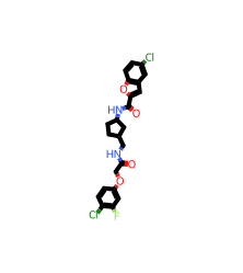 O=C(COc1ccc(Cl)c(F)c1)NCC1CCC(NC(=O)c2cc3cc(Cl)ccc3o2)C1